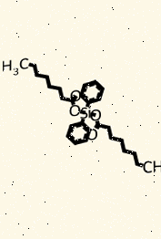 CCCCCCCC(=O)O[Si](OC(=O)CCCCCCC)(c1ccccc1)c1ccccc1